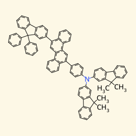 CC1(C)c2ccccc2-c2ccc(N(c3ccc(-c4cc5c6ccccc6c(-c6ccc7c(c6)C(c6ccccc6)(c6ccccc6)c6ccccc6-7)cc5c5ccccc45)cc3)c3ccc4c(c3)C(C)(C)c3ccccc3-4)cc21